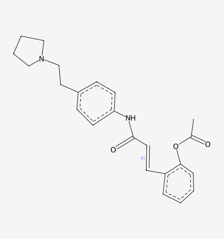 CC(=O)Oc1ccccc1/C=C/C(=O)Nc1ccc(CCN2CCCC2)cc1